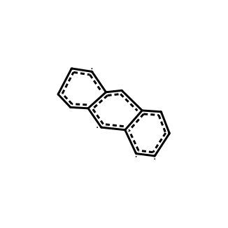 [c]1[c]c2[c]c3ccc[c]c3cc2cc1